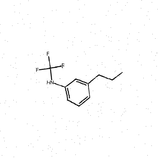 CCCc1cccc(NC(F)(F)F)c1